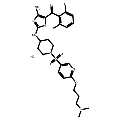 CN(C)CCCOc1ccc(S(=O)(=O)N2CCC(Nc3nc(N)c(C(=O)c4c(F)cccc4F)s3)CC2)cn1.Cl